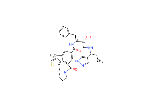 CCC(NC[C@@H](O)[C@H](Cc1ccccc1)NC(=O)c1cc(C)cc(C(=O)N2CCCC2c2cccs2)c1)c1cn[nH]c1